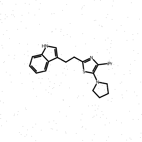 CC(C)c1nc(CCc2c[nH]c3ccccc23)sc1N1CCCC1